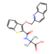 CC(C)(NC(=O)c1sc2ccccc2c1OCc1ccc2ccccc2n1)C(=O)O